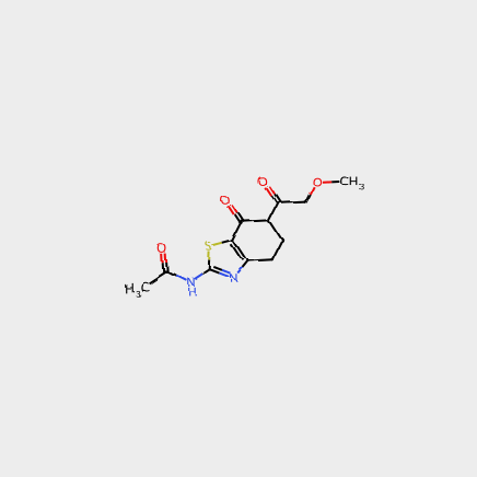 COCC(=O)C1CCc2nc(NC(C)=O)sc2C1=O